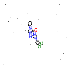 O=C([C@H]1CN(C2CCCCC2)CCN1)N1CCN(c2ccc(Cl)c(Cl)c2)CC1